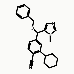 Cn1cncc1C(OCc1ccccc1)c1ccc(C#N)c(C2CCCCC2)c1